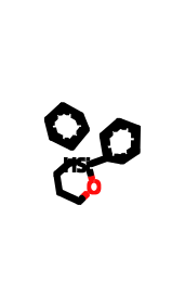 c1ccc([SiH]2CCCCO2)cc1.c1ccccc1